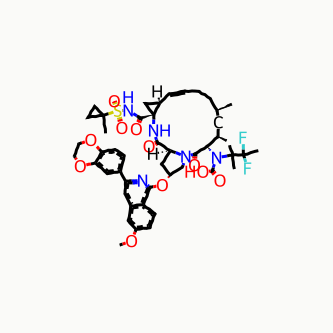 COc1ccc2c(O[C@@H]3C[C@H]4C(=O)N[C@]5(C(=O)NS(=O)(=O)C6(C)CC6)C[C@H]5/C=C\CC[C@@H](C)C[C@@H](C)[C@H](N(C(=O)O)C(C)(C)C(C)(F)F)C(=O)N4C3)nc(-c3ccc4c(c3)OCCO4)cc2c1